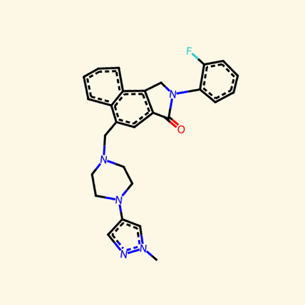 Cn1cc(N2CCN(Cc3cc4c(c5ccccc35)CN(c3ccccc3F)C4=O)CC2)cn1